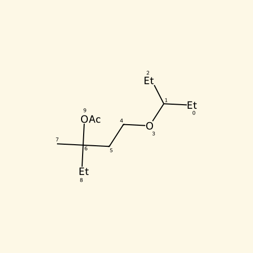 CCC(CC)OCCC(C)(CC)OC(C)=O